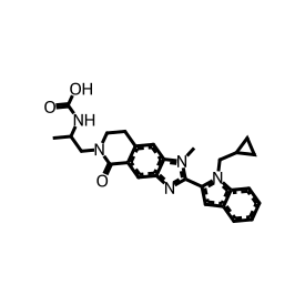 CC(CN1CCc2cc3c(cc2C1=O)nc(-c1cc2ccccc2n1CC1CC1)n3C)NC(=O)O